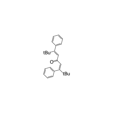 CC(C)(C)C(=CC(=O)C=C(c1ccccc1)C(C)(C)C)c1ccccc1